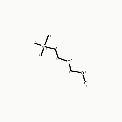 C[Si](C)(C)CCOCOCl